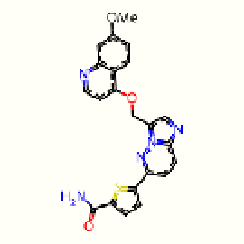 COc1ccc2c(OCc3cnc4ccc(-c5ccc(C(N)=O)s5)nn34)ccnc2c1